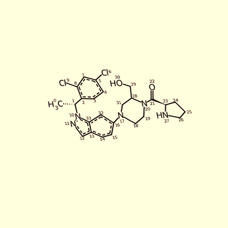 C[C@H](c1ccc(Cl)cc1Cl)n1ncc2ccc(N3CCN(C(=O)[C@H]4CCCN4)C(CO)C3)cc21